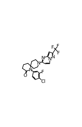 O=C1CCCC2(CCN(c3ccn4nc(C(F)(F)F)cc4n3)CC2)N1c1ccc(Cl)c(F)c1